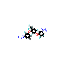 Nc1cc(F)c(F)c(Oc2ccc(C(F)(F)F)c(Oc3c(F)c(N)cc(F)c3F)c2F)c1F